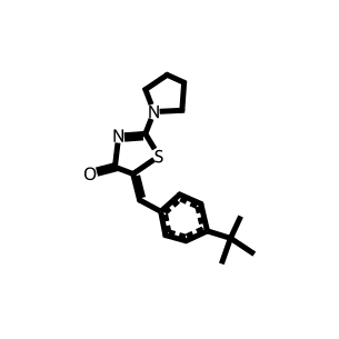 CC(C)(C)c1ccc(/C=C2\SC(N3CCCC3)=NC2=O)cc1